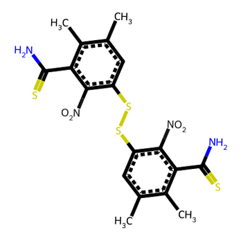 Cc1cc(SSc2cc(C)c(C)c(C(N)=S)c2[N+](=O)[O-])c([N+](=O)[O-])c(C(N)=S)c1C